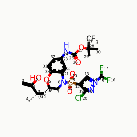 C=C(O)[C@@H](C)C[C@H]1CN(S(=O)(=O)c2cn(C(F)F)nc2Cl)c2cc(NC(=O)OC(C)(C)C(F)(F)F)ccc2O1